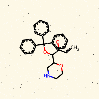 C=CC([O])C(OC(c1ccccc1)(c1ccccc1)c1ccccc1)C1CNCCO1